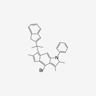 CC1=Cc2c(Br)c3c(cc2=C1C(C)(C)C1=Cc2ccccc2C1)N(c1ccccc1)C(C)C=3C